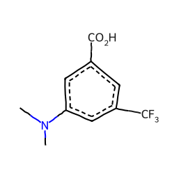 CN(C)c1cc(C(=O)O)cc(C(F)(F)F)c1